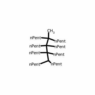 CCCCC[C](CCCCC)C(CCCCC)(CCCCC)C(CCCCC)(CCCCC)C(C)(CCCCC)CCCCC